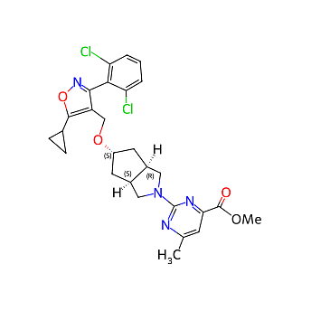 COC(=O)c1cc(C)nc(N2C[C@H]3C[C@H](OCc4c(-c5c(Cl)cccc5Cl)noc4C4CC4)C[C@H]3C2)n1